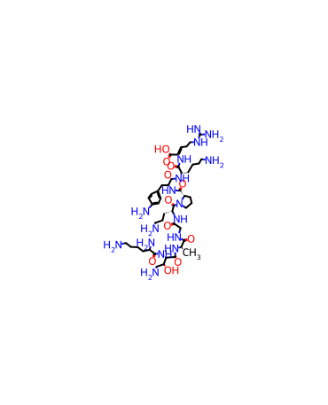 C[C@H](NC(=O)[C@@H](NC(=O)C(N)CCCCN)C(O)CN)C(=O)NCC(=O)N[C@H](CCCN)C(=O)N1CCC[C@H]1C(=O)NC(Cc1ccc(N)cc1)C(=O)N[C@@H](CCCCN)C(=O)N/C(=C\CCNC(=N)N)C(=O)O